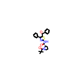 CC(C)(C)C(=O)N1CCC[C@H]1C(=O)Nc1nc(-c2ccccc2)c(C(=O)c2ccccc2)s1